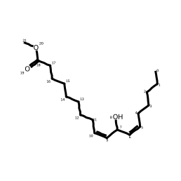 CCCCC/C=C\C(O)/C=C\CCCCCCCC(=O)OC